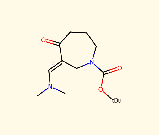 CN(C)/C=C1\CN(C(=O)OC(C)(C)C)CCCC1=O